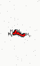 CC(C)(C)C(=O)OCOP(=O)(COCCn1cnc2c(NC(=O)OCCSSCCOC(=O)OC[C@@H]3OC(n4ccc(N)nc4=O)CS3)ncnc21)OCOC(=O)C(C)(C)C